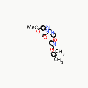 COC(=O)c1ccc2nc(CN3CCC(OC4=CCCC(COc5ccc(C)cc5C)=N4)CC3)n(C[C@@H]3CCO3)c2c1